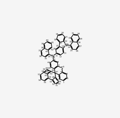 c1ccc2c(c1)Sc1cc(N(c3ccc4c(c3)c3ccccc3n4-c3cccc4ccccc34)c3cccc4ccccc34)ccc1C21c2ccccc2-c2cccc3cccc1c23